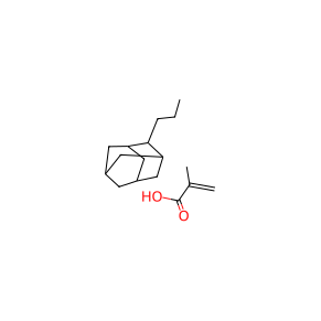 C=C(C)C(=O)O.CCCC1C2CC3CC(C2)CC1C3